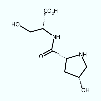 O=C(O)[C@@H](CO)NC(=O)[C@H]1C[C@@H](O)CN1